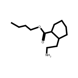 CCCCOC(=O)C1CCCCC1CCN